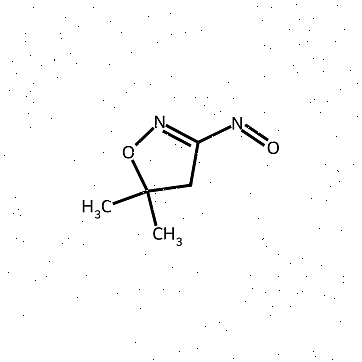 CC1(C)CC(N=O)=NO1